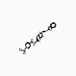 CCN(CC)c1ccc(NNc2nc3sc(/C=N/c4nc5ccccc5s4)cc3s2)cc1